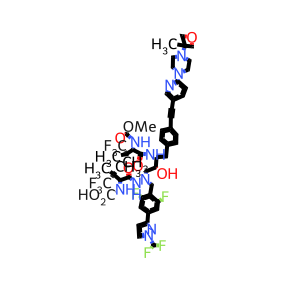 COC(=O)NC(C(=O)NC(Cc1ccc(C#Cc2ccc(N3CCN(C4(C)COC4)CC3)nc2)cc1)C(O)CN(Cc1c(F)cc(-c2ccn(C(F)F)n2)cc1F)NC(=O)C(NC(=O)O)C(C)(C)C(F)(F)F)C(C)(C)C(F)(F)F